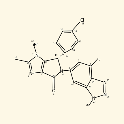 Cc1cc(N2C(=O)c3nc(C)n(C(C)C)c3[C@@H]2c2ccc(Cl)cc2)cc2c1nnn2C